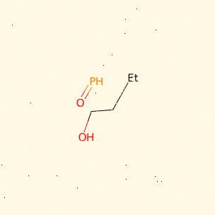 CCCCO.O=P